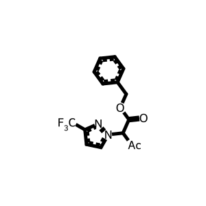 CC(=O)C(C(=O)OCc1ccccc1)n1ccc(C(F)(F)F)n1